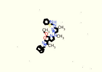 CCOC(=O)c1nc(N(C)c2cc(C)c(Nc3nc4ccccc4s3)nn2)ccc1-c1cnn(CC23CC4CC(CC(C4)C2)C3)c1C